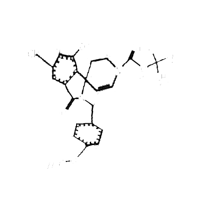 COc1ccc(CN2C(=O)c3cc(Cl)cc(Cl)c3C23C=CN(C(=O)OC(C)(C)C)CC3)cc1